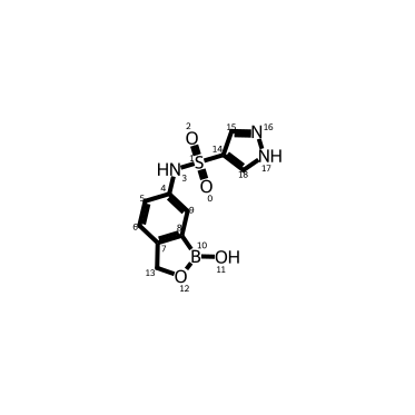 O=S(=O)(Nc1ccc2c(c1)B(O)OC2)c1cn[nH]c1